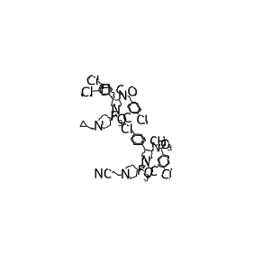 CN(C(=O)c1ccc(Cl)c(C(F)(F)F)c1)C1CN(C(=O)C2CCN(CC3CC3)CC2)CC1c1ccc(Cl)c(Cl)c1.CN(C(=O)c1ccc(Cl)c(C(F)(F)F)c1)C1CN(C(=O)C2CCN(CCC#N)CC2)CC1c1ccc(Cl)cc1